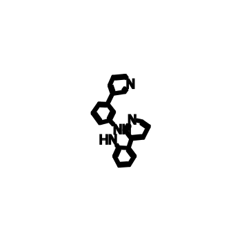 c1cncc(-c2cccc(NNc3ccccc3-c3cccnc3)c2)c1